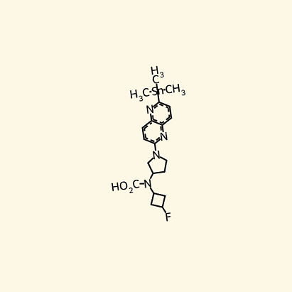 [CH3][Sn]([CH3])([CH3])[c]1ccc2nc(N3CCC(N(C(=O)O)C4CC(F)C4)C3)ccc2n1